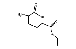 CCOC(=O)C1CCC(N)C(=O)N1